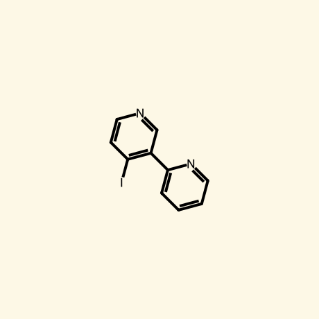 Ic1ccncc1-c1ccccn1